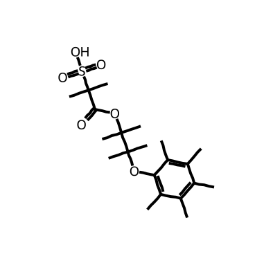 Cc1c(C)c(C)c(OC(C)(C)C(C)(C)OC(=O)C(C)(C)S(=O)(=O)O)c(C)c1C